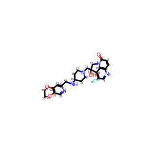 O=c1ccc2ncc(F)c3c2n1CC3(O)CN1CCC(NCc2cc3c(cn2)OCCO3)CC1